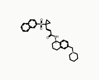 O=C(C=CC1(S(=O)(=O)c2ccc3ccccc3c2)CC1)N[C@@H]1CCCc2cc(CN3CCCCC3)ccc21